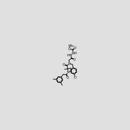 Cc1cc(C)cc(CC(=O)N2CCC2(C)C(=O)N(CC(=O)NNC(=O)OC(C)(C)C)Cc2ccc(Cl)cc2)c1